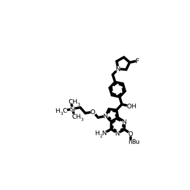 CCCCOc1nc(N)c2c(n1)c(C(O)c1ccc(CN3CCC(F)C3)cc1)cn2COCC[Si](C)(C)C